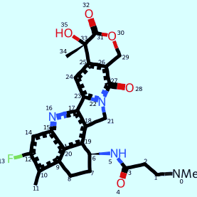 CNCCC(=O)N[C@H]1CCc2c(C)c(F)cc3nc4c(c1c23)Cn1c-4cc2c(c1=O)COC(=O)[C@@]2(C)O